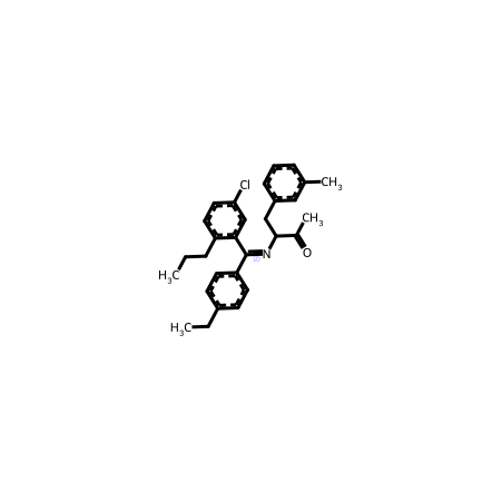 CCCc1ccc(Cl)cc1/C(=N\C(Cc1cccc(C)c1)C(C)=O)c1ccc(CC)cc1